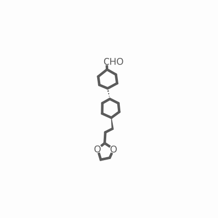 O=CC1CCC([C@H]2CC[C@H](CCC3OCCO3)CC2)CC1